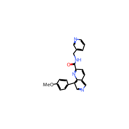 COc1ccc(-c2cncc3ccc(C(=O)NCc4cccnc4)nc23)cc1